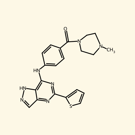 CN1CCN(C(=O)c2ccc(Nc3nc(-c4cccs4)nc4cn[nH]c34)cc2)CC1